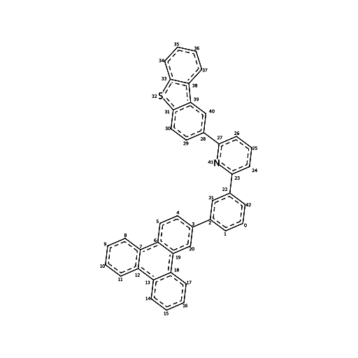 c1cc(-c2ccc3c4ccccc4c4ccccc4c3c2)cc(-c2cccc(-c3ccc4sc5ccccc5c4c3)n2)c1